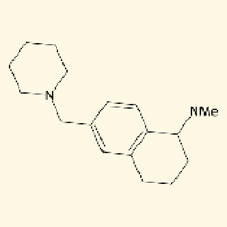 CNC1CCCc2cc(CN3CCCCC3)ccc21